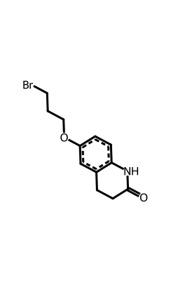 O=C1CCc2cc(OCCCBr)ccc2N1